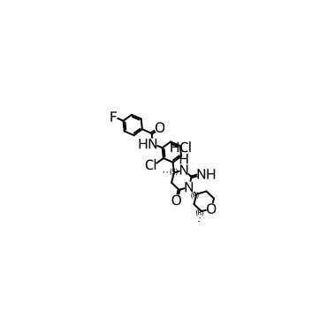 C[C@@H]1C[C@H](N2C(=N)N[C@](C)(c3cccc(NC(=O)c4ccc(F)cc4)c3Cl)CC2=O)CCO1.Cl